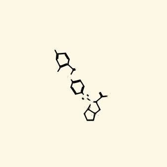 O=C(Nc1ccc(S(=O)(=O)N2C(C(=O)NO)C[C@H]3CCC[C@H]32)cc1)c1ccc(Cl)cc1Cl